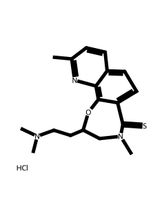 Cc1ccc2ccc3c(c2n1)OC(CCN(C)C)CN(C)C3=S.Cl